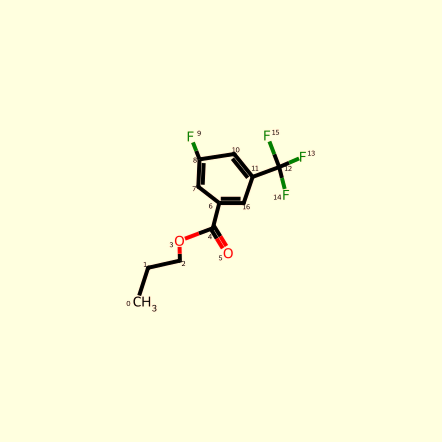 CCCOC(=O)c1cc(F)cc(C(F)(F)F)c1